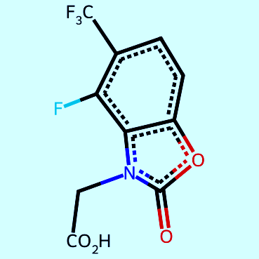 O=C(O)Cn1c(=O)oc2ccc(C(F)(F)F)c(F)c21